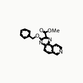 COC(=O)c1nc2c(ccc3cnccc32)nc1OCc1ccccc1